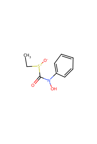 CC[S+]([O-])C(=O)N(O)c1ccccc1